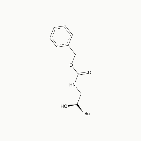 CC[C@H](C)[C@@H](O)CNC(=O)OCc1ccccc1